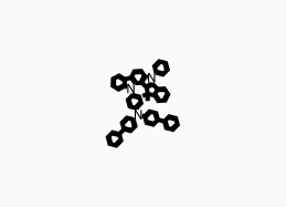 CC1(C)c2ccccc2-c2c1c1c(ccc3c4ccccc4n(-c4ccc(N(c5ccc(-c6ccccc6)cc5)c5ccc(-c6ccccc6)cc5)cc4)c31)n2-c1ccccc1